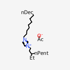 CC(=O)[O-].CCCCCCCCCCCCCCCCCCn1cc[n+](CCC(CC)CCCCC)c1